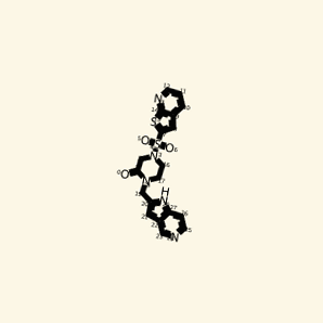 O=C1CN(S(=O)(=O)c2cc3cccnc3s2)CCN1Cc1cc2cnccc2[nH]1